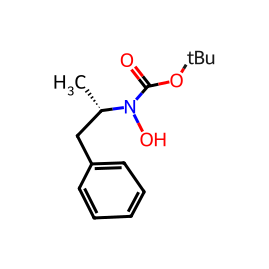 C[C@@H](Cc1ccccc1)N(O)C(=O)OC(C)(C)C